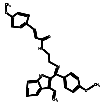 C=Cc1c(/C(=N\CCNC(=O)/C=C/c2ccc(OC)cc2)c2ccc(OC)cc2)[nH]c2ccccc12